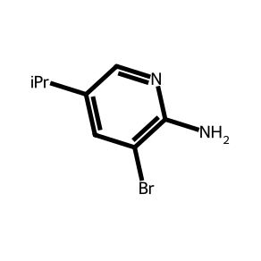 CC(C)c1cnc(N)c(Br)c1